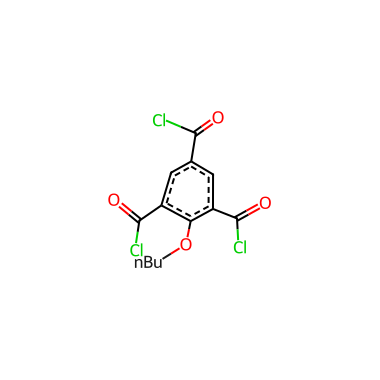 CCCCOc1c(C(=O)Cl)cc(C(=O)Cl)cc1C(=O)Cl